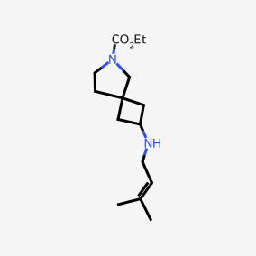 CCOC(=O)N1CCC2(CC(NCC=C(C)C)C2)C1